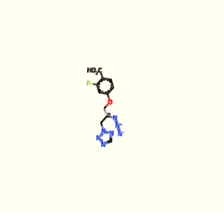 [N-]=[N+]=N[C@@H](COc1ccc(C(=O)O)c(F)c1)Cn1ncnn1